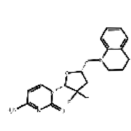 Nc1ccn([C@@H]2O[C@H](CN3CCCc4ccccc43)CC2(F)F)c(=O)n1